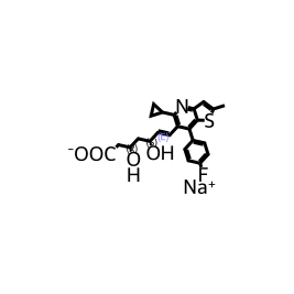 Cc1cc2nc(C3CC3)c(/C=C/[C@@H](O)C[C@@H](O)CC(=O)[O-])c(-c3ccc(F)cc3)c2s1.[Na+]